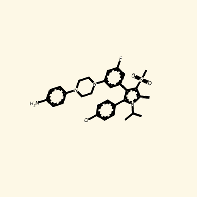 Cc1c(S(C)(=O)=O)c(-c2cc(F)cc(N3CCN(c4ccc(N)cc4)CC3)c2)c(-c2ccc(Cl)cc2)n1C(C)C